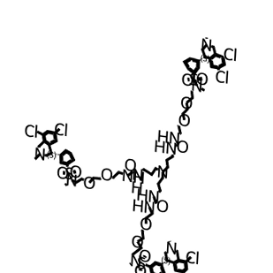 CN1Cc2c(Cl)cc(Cl)cc2[C@H](c2cccc(S(=O)(=O)N(C)CCOCCOCCNC(=O)NCCCN(CCCNC(=O)NCCOCCOCCN(C)S(=O)(=O)c3cccc([C@@H]4CN(C)Cc5c(Cl)cc(Cl)cc54)c3)CCCNC(=O)NCCOCCOCCN(C)S(=O)(=O)c3cccc([C@@H]4CN(C)Cc5c(Cl)cc(Cl)cc54)c3)c2)C1